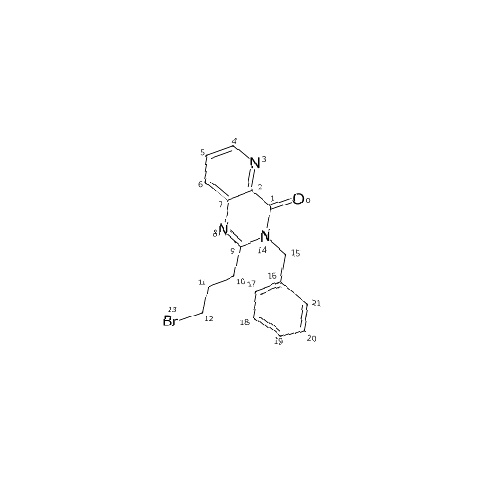 O=c1c2ncccc2nc(CCCBr)n1Cc1ccccc1